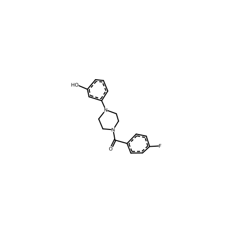 O=C(c1ccc(F)cc1)N1CCN(c2cccc(O)c2)CC1